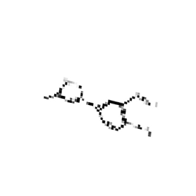 Cn1cc(-c2ccc(N)c(C=N)c2)cn1